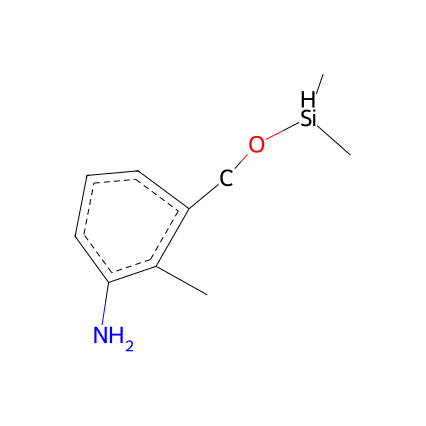 Cc1c(N)cccc1CO[SiH](C)C